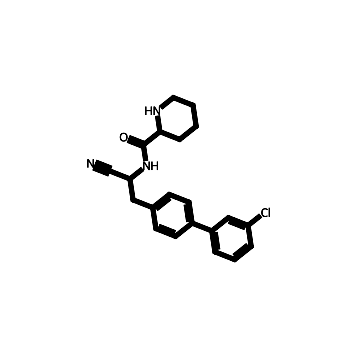 N#CC(Cc1ccc(-c2cccc(Cl)c2)cc1)NC(=O)C1CCCCN1